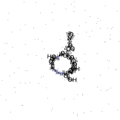 CO[C@@H]1C[C@H](C[C@@H](C)[C@@H]2CC(=O)[C@H](C)/C=C(\C)[C@@H](O)[C@@H](OC)C(=O)[C@H](C)C[C@H](C)/C=C/C=C/C=C(\C)C(OCCO)C[C@@H]3CC[C@@H](C)[C@@](O)(O3)C(=O)C(=O)N3CCCCC3C(=O)O2)CC[C@H]1OCCCN1CCOC(C)(C)C1